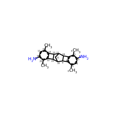 Cc1cc(N)c(C)c2c1C1C3CC(C4c5c(C)cc(N)c(C)c5C34)C21